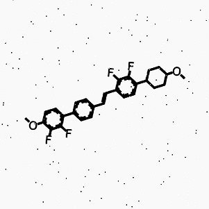 COc1ccc(-c2ccc(/C=C/c3ccc(C4CCC(OC)CC4)c(F)c3F)cc2)c(F)c1F